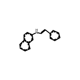 C(=Cc1ccccc1)Nc1ccc2ccccc2c1